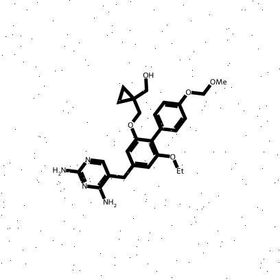 CCOc1cc(Cc2cnc(N)nc2N)cc(OCC2(CO)CC2)c1-c1ccc(OCOC)cc1